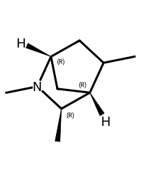 CC1C[C@@H]2C[C@H]1[C@@H](C)N2C